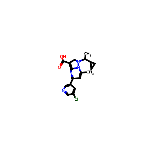 CC1=CC(c2cncc(Cl)c2)=NC2=C(C(=O)O)CN(C(C)C3CC3)N12